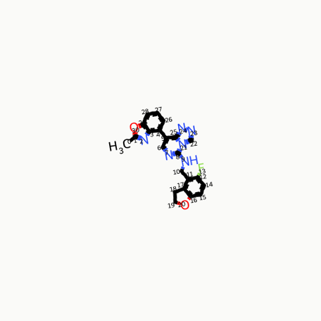 Cc1nc2c(-c3cnc(NCc4c(F)ccc5c4CCO5)n4cnnc34)cccc2o1